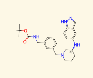 CC(C)(C)OC(=O)NCc1cccc(CN2CCC[C@H](Nc3ccc4[nH]ncc4c3)C2)c1